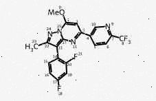 COc1cc(-c2ccc(C(F)(F)F)nc2)nc2c(-c3ccc(F)cc3F)c(C)nn12